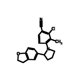 Cc1c(N2CCCC2c2ccc3c(c2)CCO3)ccc(C#N)c1Cl